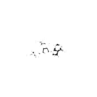 CC(C)[Si](OC[C@@H]1O[C@H](n2nc(O)c3c(N)ncnc32)[C@@H](F)[C@H]1O[Si](C(C)C)(C(C)C)C(C)C)(C(C)C)C(C)C